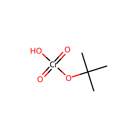 CC(C)(C)[O][Cr](=[O])(=[O])[OH]